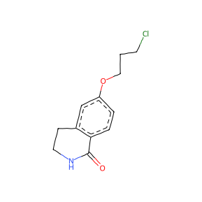 O=C1NCCc2cc(OCCCCl)ccc21